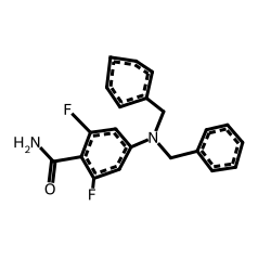 NC(=O)c1c(F)cc(N(Cc2ccccc2)Cc2ccccc2)cc1F